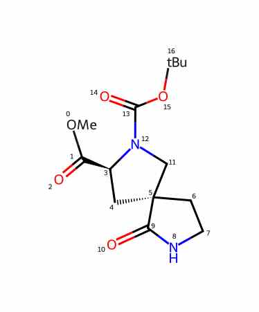 COC(=O)[C@@H]1C[C@@]2(CCNC2=O)CN1C(=O)OC(C)(C)C